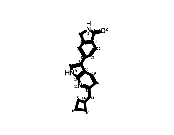 O=C1NCc2cc(-c3c[nH]c4nc(CC5CCC5)ccc34)ccc21